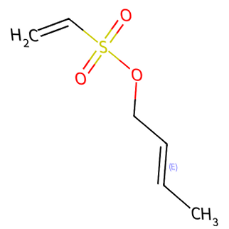 C=CS(=O)(=O)OC/C=C/C